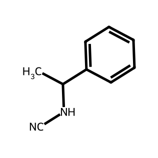 CC(NC#N)c1ccccc1